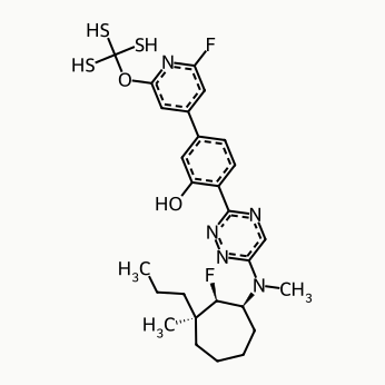 CCC[C@]1(C)CCCC[C@H](N(C)c2cnc(-c3ccc(-c4cc(F)nc(OC(S)(S)S)c4)cc3O)nn2)[C@@H]1F